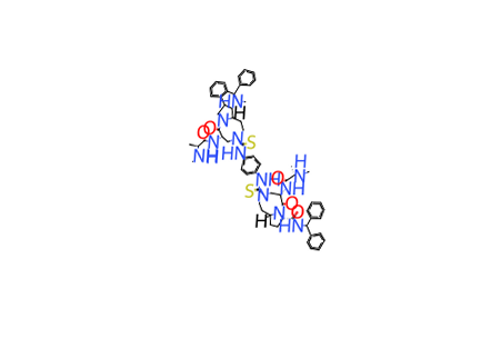 CNC(c1ccccc1)c1ccccc1C1C[C@@H]2CCN(C(=S)Nc3ccc(NC(=S)N4CC[C@H]5CC[C@@H](C(=O)NC(c6ccccc6)c6ccccc6)N5C(=O)[C@@H](NC(=O)[C@H](C)NC)C4)cc3)C[C@H](NC(=O)[C@H](C)NC)C(=O)N2C1